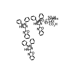 CCCCCCC(C(=O)O)(C(CC)(CC)C(=O)O)S(=O)(=O)O.c1ccc(N2N=C(c3nc4ccccc4o3)NN2c2ccccc2)cc1.c1ccc(N2N=C(c3nc4ccccc4o3)NN2c2ccccc2)cc1.c1ccc(N2N=C(c3nc4ccccc4o3)NN2c2ccccc2)cc1